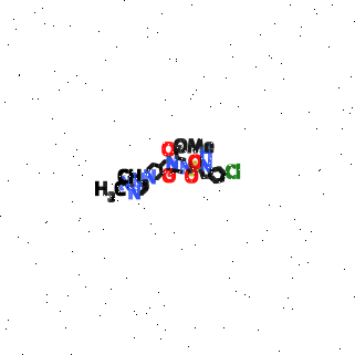 COC(=O)C1CN(S(=O)(=O)c2cc3ccc(Cl)cc3[nH]2)CC(=O)N1CC1CCN(c2ccnc(N(C)C)n2)CC1